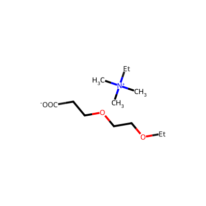 CCOCCOCCC(=O)[O-].CC[N+](C)(C)C